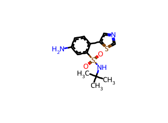 CC(C)(C)NS(=O)(=O)c1cc(N)ccc1-c1cncs1